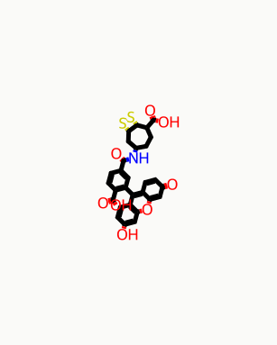 O=C(NC1CCC(C(=O)O)C2SSC2C1)c1ccc(C(=O)O)c(-c2c3ccc(=O)cc-3oc3cc(O)ccc23)c1